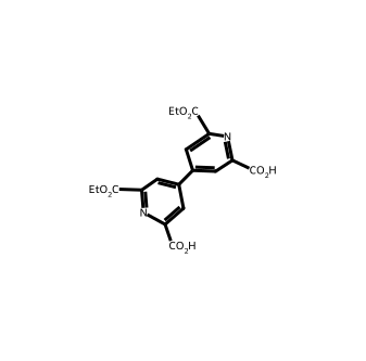 CCOC(=O)c1cc(-c2cc(C(=O)O)nc(C(=O)OCC)c2)cc(C(=O)O)n1